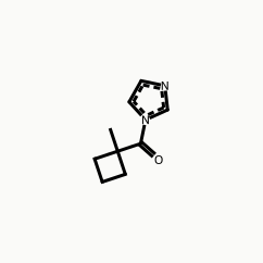 CC1(C(=O)n2ccnc2)CCC1